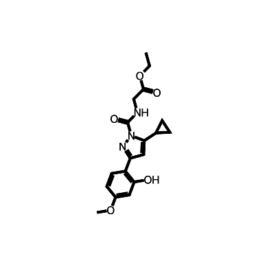 CCOC(=O)CNC(=O)n1nc(-c2ccc(OC)cc2O)cc1C1CC1